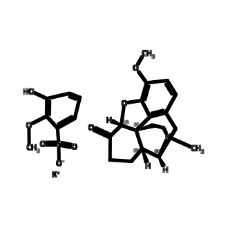 COc1c(O)cccc1S(=O)(=O)[O-].COc1ccc2c3c1O[C@H]1C(=O)CC[C@H]4[C@@H](C2)N(C)CC[C@]314.[K+]